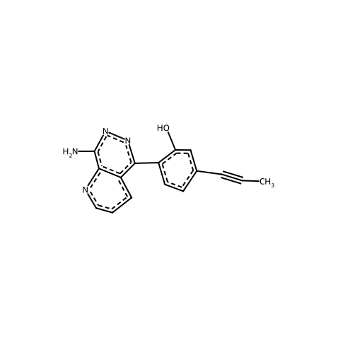 CC#Cc1ccc(-c2nnc(N)c3ncccc23)c(O)c1